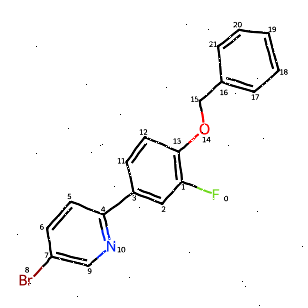 Fc1cc(-c2ccc(Br)cn2)ccc1OCc1ccccc1